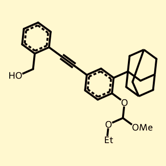 CCOC(OC)Oc1ccc(C#Cc2ccccc2CO)cc1C12CC3CC(CC(C3)C1)C2